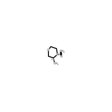 C=O.C[C@H]1COCCN1